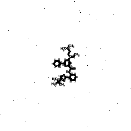 CCN(CCN(C)C)c1cc(C(=O)Nc2ccccc2-c2ncc(C(C)(C)C)s2)nc(-c2ccccc2)c1